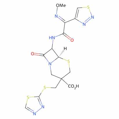 CON=C(C(=O)NC1C(=O)N2CC(CSc3nncs3)(C(=O)O)CS[C@H]12)c1csnn1